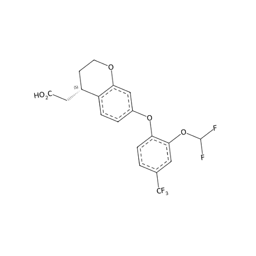 O=C(O)C[C@@H]1CCOc2cc(Oc3ccc(C(F)(F)F)cc3OC(F)F)ccc21